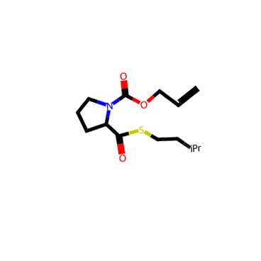 C=CCOC(=O)N1CCCC1C(=O)SCCC(C)C